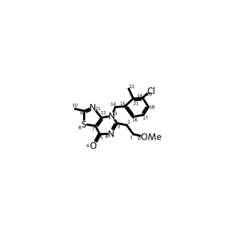 COCCc1nc(=O)c2sc(C)nc2n1Cc1cccc(Cl)c1C